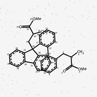 COC(=O)C(C)Cc1ccccc1-c1ccccc1C1(CC(C)C(=O)OC)c2ccccc2-c2ccccc21